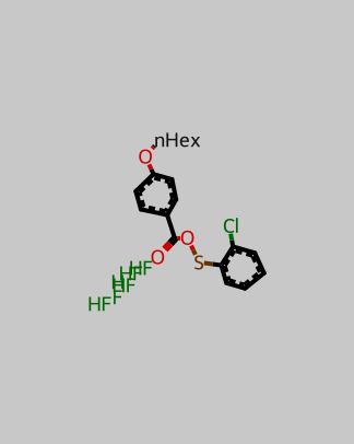 CCCCCCOc1ccc(C(=O)OSc2ccccc2Cl)cc1.F.F.F.F.F